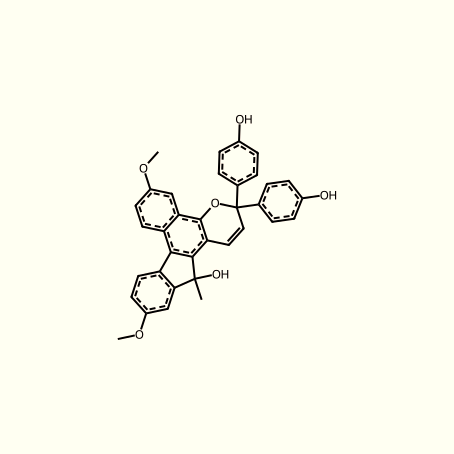 COc1ccc2c(c1)C(C)(O)c1c3c(c4cc(OC)ccc4c1-2)OC(c1ccc(O)cc1)(c1ccc(O)cc1)C=C3